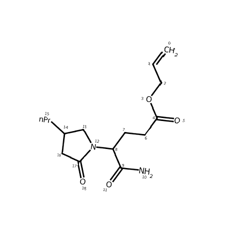 C=CCOC(=O)CCC(C(N)=O)N1CC(CCC)CC1=O